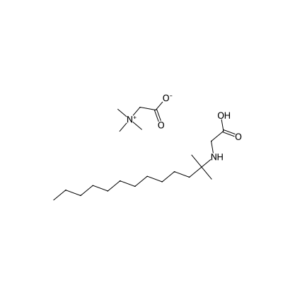 CCCCCCCCCCCC(C)(C)NCC(=O)O.C[N+](C)(C)CC(=O)[O-]